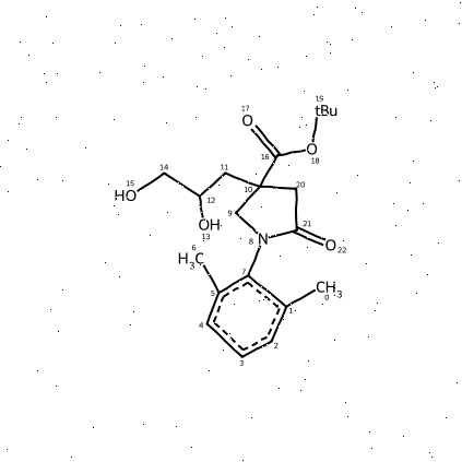 Cc1cccc(C)c1N1CC(CC(O)CO)(C(=O)OC(C)(C)C)CC1=O